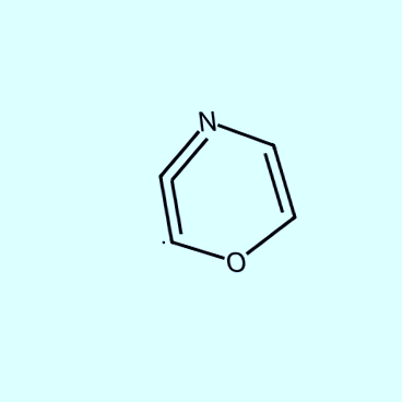 [C]1=C=NC=CO1